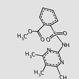 COC(=O)c1ccccc1S(=O)(=O)Nc1nc(C)c(C)c(C)n1